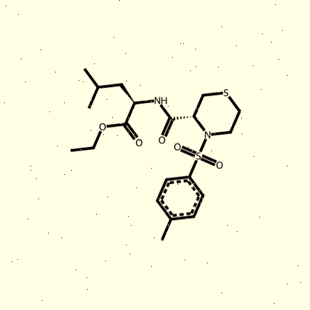 CCOC(=O)[C@@H](CC(C)C)NC(=O)[C@@H]1CSCCN1S(=O)(=O)c1ccc(C)cc1